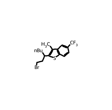 CCCCC(CCBr)c1sc2ccc(C(F)(F)F)cc2c1C